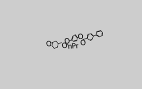 CCCC(OCC1CCC2OC2C1)Oc1ccc(OC(=O)c2ccc(-c3ccccc3)cc2)cc1